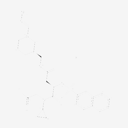 Cl.NN=CN1CCC[C@H](CNC(=O)C[C@@H](NS(=O)(=O)c2ccc3ccccc3c2)C(=O)N(CC(=O)O)C2CC2)C1